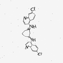 Clc1ccc2c(N[C@H]3CCC[C@H](Nc4ccnc5cc(Cl)ccc45)C3)ccnc2c1